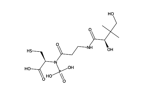 CC(C)(CO)[C@@H](O)C(=O)NCCC(=O)N([C@H](CS)C(=O)O)P(=O)(O)O